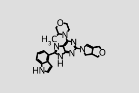 CC1COCCN1c1nc(N2C=C3COCC3C2)nc2[nH]c(-c3cccc4[nH]ccc34)nc12